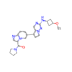 CCO[C@H]1C[C@@H](Nc2ncc3c(-c4ccc5ncc(C(=O)N6CCCC6)n5c4)ccn3n2)C1